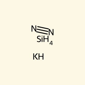 N#N.[KH].[SiH4]